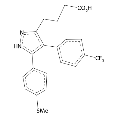 CSc1ccc(-c2[nH]nc(CCCC(=O)O)c2-c2ccc(C(F)(F)F)cc2)cc1